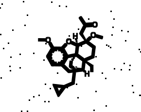 CC[C@]12CC[C@@](CC(C)=O)(OC)[C@@H]3Oc4c(OC)ccc5c4[C@@]31CCN(CC1CC1)[C@@H]2C5